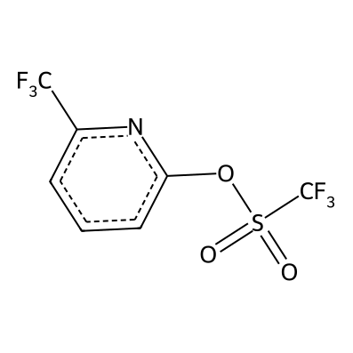 O=S(=O)(Oc1cccc(C(F)(F)F)n1)C(F)(F)F